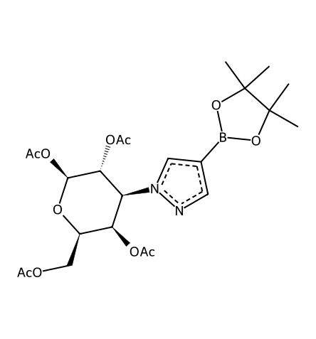 CC(=O)OC[C@H]1O[C@@H](OC(C)=O)[C@H](OC(C)=O)[C@@H](n2cc(B3OC(C)(C)C(C)(C)O3)cn2)[C@H]1OC(C)=O